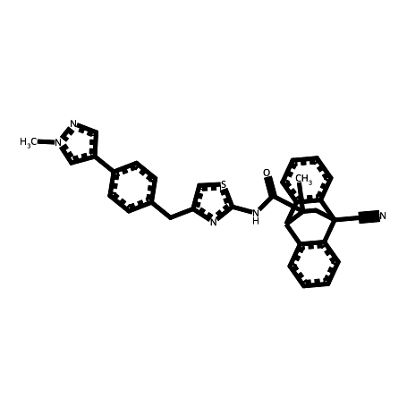 Cn1cc(-c2ccc(Cc3csc(NC(=O)C4(C)CC5(C#N)c6ccccc6C4c4ccccc45)n3)cc2)cn1